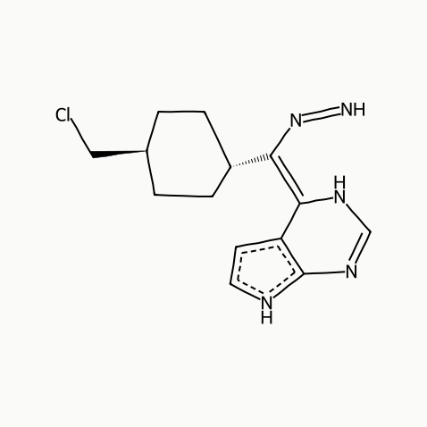 N=N/C(=C1\NC=Nc2[nH]ccc21)[C@H]1CC[C@H](CCl)CC1